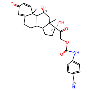 CC12C=CC(=O)C=C1CCC1C2[C@@H](O)CC2(C)C1CC[C@]2(O)C(=O)COC(=O)Nc1ccc(C#N)cc1